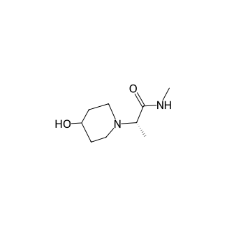 CNC(=O)[C@H](C)N1CCC(O)CC1